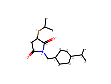 CC(C)SC1CC(=O)N(CC2CCC(C(C)C)CC2)C1=O